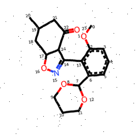 COc1cccc(C2OCCCO2)c1C1=NOC2CC(C)CC(=O)C12